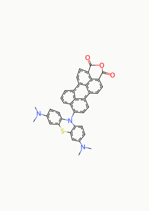 CN(C)c1ccc2c(c1)Sc1cc(N(C)C)ccc1N2c1ccc2c3ccc4c5c(ccc(c6cccc1c62)c53)C(=O)OC4=O